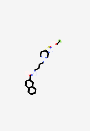 O=C(NCCCCN1CCc2sc(OCC(F)(F)F)nc2C1)c1ccc2ccccc2c1